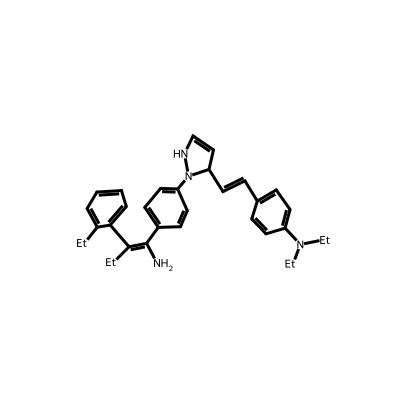 CCC(=C(N)c1ccc(N2NC=CC2C=Cc2ccc(N(CC)CC)cc2)cc1)c1ccccc1CC